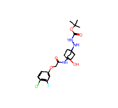 CC(C)(C)OC(=O)NNC12CCC(NC(=O)COc3ccc(Cl)c(F)c3)(CC1)C(O)C2